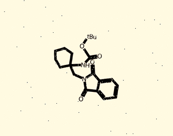 CC(C)(C)OC(=O)NC1(CN2C(=O)c3ccccc3C2=O)CCCCC1